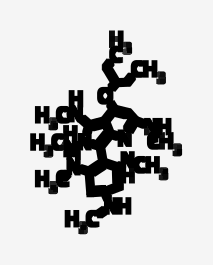 CCC(CC)Oc1cc(NC)nc2c(-c3c(NC)cc(NC)cc3NC)n(NC)c(NC)c12